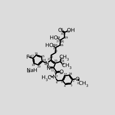 COc1ccc(CN(C)C(=O)c2nn(-c3ccc(F)cc3)c(CC[C@@H](O)C[C@@H](O)CC(=O)O)c2C(C)C)cc1.[NaH]